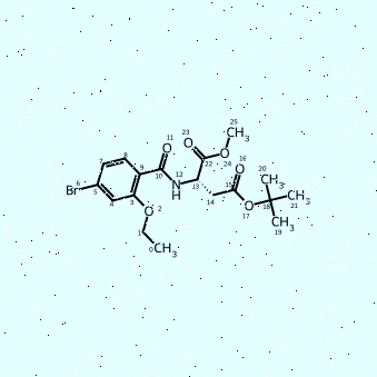 CCOc1cc(Br)ccc1C(=O)N[C@@H](CC(=O)OC(C)(C)C)C(=O)OC